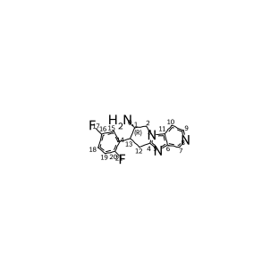 N[C@H]1Cn2c(nc3cnccc32)CC1c1cc(F)ccc1F